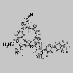 Cc1nc(-c2ccc3c(c2)OCCC3(C)C)nc(C)c1C(=O)N[C@@H](CCN)C(=O)N(C)[C@@H]1C(=O)N[C@@H](C)C(=O)N[C@H](C(=O)NCC#N)Cc2ccc(OCCN)c(c2)-c2cc1ccc2OCCN